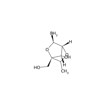 B[C@@H]1O[C@@]2(CO)C(C)O[C@@H]1[C@@H]2O